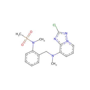 CN(Cc1ccccc1N(C)S(C)(=O)=O)c1cccn2nc(Cl)nc12